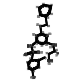 Cc1cc(Br)ccc1S(=O)(=O)Nc1cc(N[C@H](C)CO)nc(SCc2ccccc2)n1